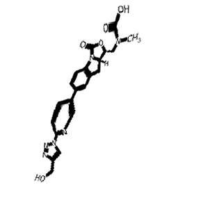 CN(C[C@@H]1OC(=O)N2c3ccc(-c4ccc(-n5cc(CO)nn5)nc4)cc3C[C@@H]12)C(=O)O